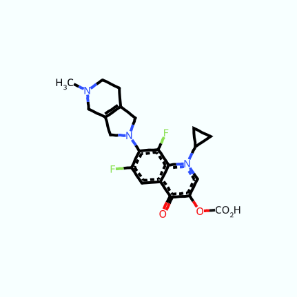 CN1CCC2=C(C1)CN(c1c(F)cc3c(=O)c(OC(=O)O)cn(C4CC4)c3c1F)C2